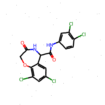 O=C1COc2c(Cl)cc(Cl)cc2C(C(=O)Nc2ccc(Cl)c(Cl)c2)N1